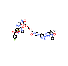 CC(=O)c1c(C)c2cnc(Nc3ccc(N4CCN(C(=O)CCOCCOCCC(=O)N(C)[C@@H](C)C(=O)N[C@H](C(=O)N5CCC[C@H]5c5nc(C(=O)c6ccc(F)cc6)cs5)C5CCCCC5)CC4)cn3)nc2n(C2CCCC2)c1=O